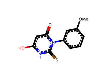 COc1cccc(-n2c(=O)cc(O)[nH]c2=S)c1